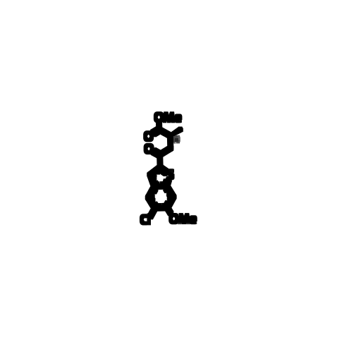 COC(=O)[C@@H](C)CC(=O)c1cc2cc(Cl)c(OC)cc2s1